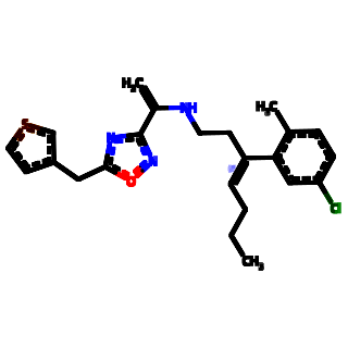 C=C(NCC/C(=C/CCC)c1cc(Cl)ccc1C)c1noc(Cc2ccsc2)n1